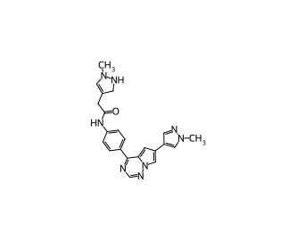 CN1C=C(CC(=O)Nc2ccc(-c3ncnn4cc(-c5cnn(C)c5)cc34)cc2)CN1